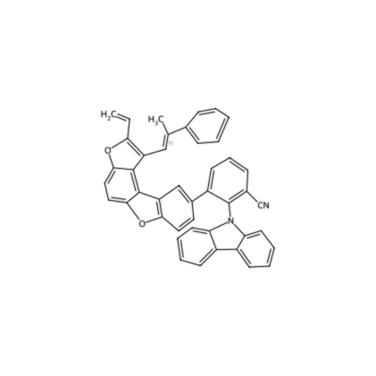 C=Cc1oc2ccc3oc4ccc(-c5cccc(C#N)c5-n5c6ccccc6c6ccccc65)cc4c3c2c1/C=C(\C)c1ccccc1